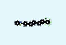 Fc1c(F)c(F)c(-c2ccc3cc(-c4ccc5cc(-c6ccc(-c7nc8ccccc8s7)cc6)ccc5c4)ccc3c2)c(F)c1F